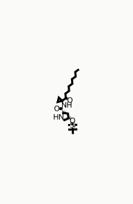 CCCCCCCCC(=O)C1(NC(=O)[C@@H]2C[C@@H](O[Si](C)(C)C(C)(C)C)CN2)CC1